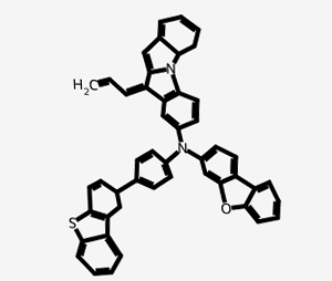 C=C/C=c1\c2n(c3ccc(N(c4ccc(C5C=Cc6sc7ccccc7c6C5)cc4)c4ccc5c(c4)oc4ccccc45)cc13)C1CC=CC=C1C=2